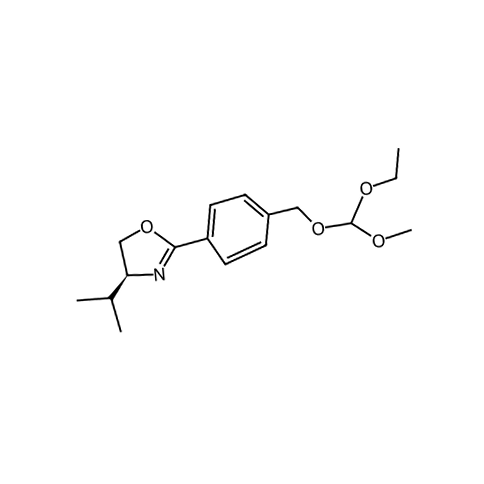 CCOC(OC)OCc1ccc(C2=N[C@@H](C(C)C)CO2)cc1